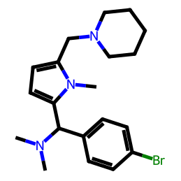 CN(C)C(c1ccc(Br)cc1)c1ccc(CN2CCCCC2)n1C